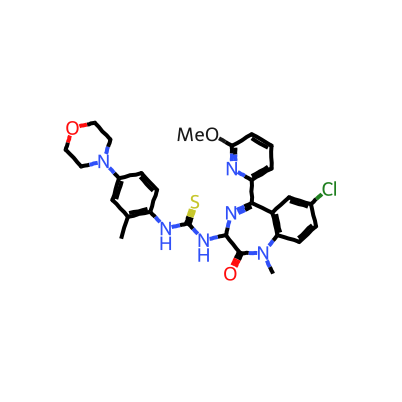 COc1cccc(C2=NC(NC(=S)Nc3ccc(N4CCOCC4)cc3C)C(=O)N(C)c3ccc(Cl)cc32)n1